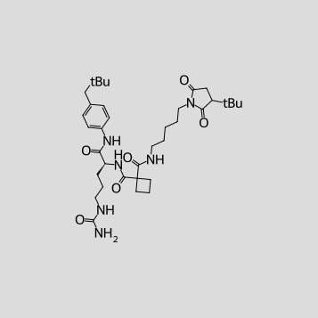 CC(C)(C)Cc1ccc(NC(=O)[C@H](CCCNC(N)=O)NC(=O)C2(C(=O)NCCCCCN3C(=O)CC(C(C)(C)C)C3=O)CCC2)cc1